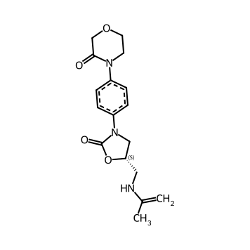 C=C(C)NC[C@H]1CN(c2ccc(N3CCOCC3=O)cc2)C(=O)O1